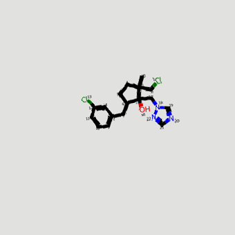 CC1(CCl)CCC(Cc2cccc(Cl)c2)C1(O)Cn1cncn1